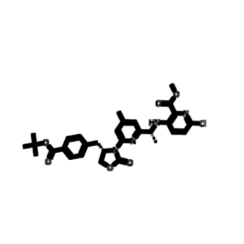 COC(=O)c1nc(Cl)ccc1N[C@H](C)c1cc(C)cc(N2C(=O)OC[C@@H]2Cc2ccc(C(=O)OC(C)(C)C)cc2)n1